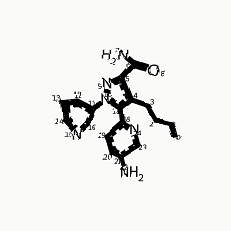 CCCCc1c(C(N)=O)nn(-c2cccnc2)c1-c1ccc(N)cn1